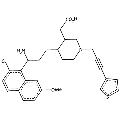 COc1ccc2ncc(Cl)c(C(N)CCC3CCN(CC#Cc4ccsc4)CC3CC(=O)O)c2c1